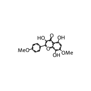 COc1ccc(-c2oc3c(O)c(OC)cc(O)c3c(=O)c2O)cc1